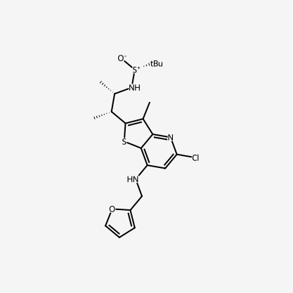 Cc1c([C@H](C)[C@H](C)N[S@+]([O-])C(C)(C)C)sc2c(NCc3ccco3)cc(Cl)nc12